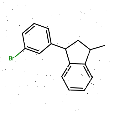 CC1CC(c2cccc(Br)c2)c2ccccc21